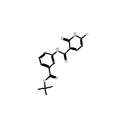 CC(C)(C)OC(=O)c1cccc(NC(=O)c2ccc(Cl)[nH]c2=O)c1